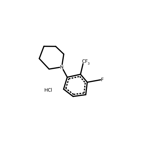 Cl.Fc1cccc(N2CCCCC2)c1C(F)(F)F